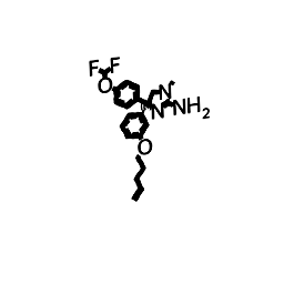 C=CCCCOc1cccc([C@]2(c3ccc(OC(F)F)cc3)CN(C)C(N)=N2)c1